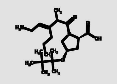 CCC/C(=C\CN)C(C)C(=O)N1C[C@H](O[Si](C)(C)C(C)(C)C)C[C@H]1C(=O)O